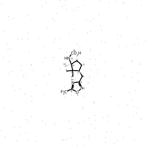 CC1(C)[C@H](Cc2noc(C(F)(F)F)n2)CC[C@]1(C)NC(=O)O